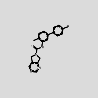 Cc1ccc(-c2ccc(F)cc2)cc1NC(=O)N1Cc2cncnc2C1